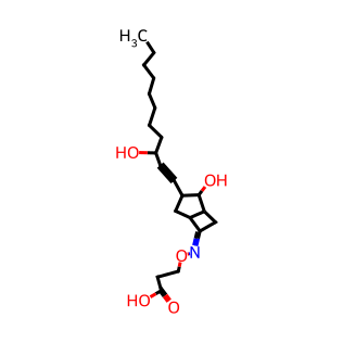 CCCCCCCCC(O)C#CC1CC2C(=NOCCC(=O)O)CC2C1O